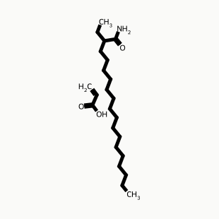 C=CC(=O)O.CCCCCCCCCCCCCCCCC(CC)C(N)=O